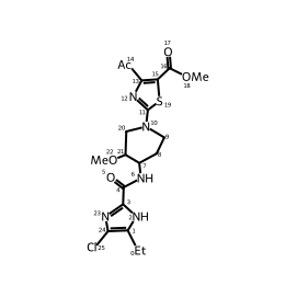 CCc1[nH]c(C(=O)NC2CCN(c3nc(C(C)=O)c(C(=O)OC)s3)CC2OC)nc1Cl